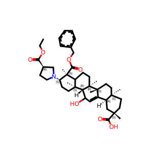 CCOC(=O)[C@@H]1CCN([C@H]2CC[C@@]3(C)C(CC[C@]4(C)[C@@H]3C(O)C=C3[C@@H]5C[C@@](C)(C(=O)O)CC[C@]5(C)CC[C@]34C)[C@]2(C)C(=O)OCc2ccccc2)C1